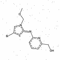 COCn1cc(Br)s/c1=N\c1cccc(CO)n1